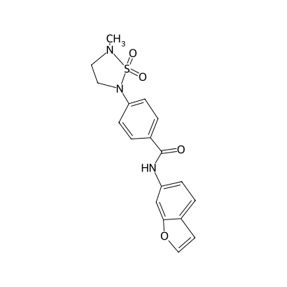 CN1CCN(c2ccc(C(=O)Nc3ccc4ccoc4c3)cc2)S1(=O)=O